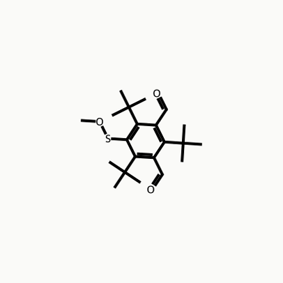 COSc1c(C(C)(C)C)c(C=O)c(C(C)(C)C)c(C=O)c1C(C)(C)C